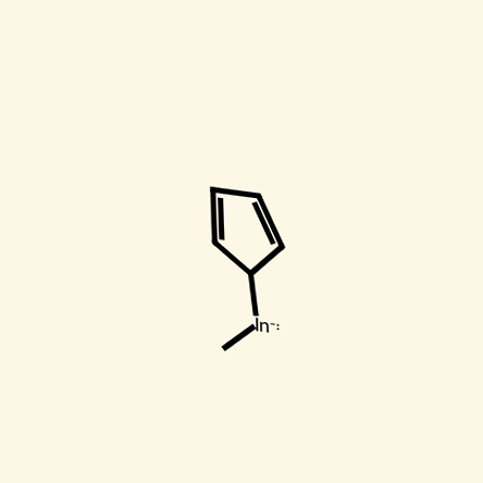 [CH3][In-][CH]1C=CC=C1